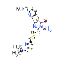 COc1ccc(Cc2cnc(CCSCc3csc(CN(C)C)n3)n(N)c2=O)cn1